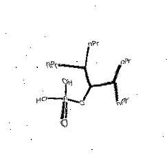 CCCC(CCC)C(OP(=O)(O)O)C(CCC)CCC